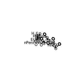 CCCCCC(C(=O)NCNC(=O)c1ccc(-c2ccc(C(=O)NC(CC(=O)OCc3ccccc3)C(=O)OCc3ccccc3)c(OCC(=O)OCc3ccccc3)c2)o1)C(CC)N(C=O)OP(=O)(NC(C)C(=O)OC)Oc1ccccc1